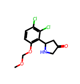 COCOc1ccc(Cl)c(Cl)c1C1CC(=O)CN1